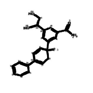 NC(=O)c1cc(C2(F)C=CC(c3ccccc3)=CC2)cc(C(O)CO)n1